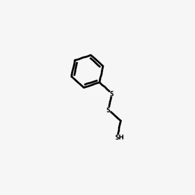 SCSSc1ccccc1